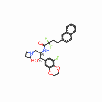 O=C(N[C@H](CN1CCC1)[C@H](O)c1cc(F)c2c(c1)OCCO2)C(F)(F)CCc1ccc2ccccc2c1